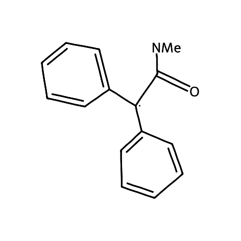 CNC(=O)[C](c1ccccc1)c1ccccc1